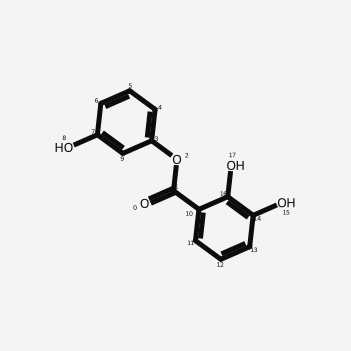 O=C(Oc1cccc(O)c1)c1cccc(O)c1O